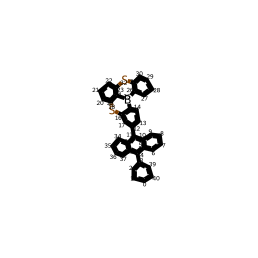 c1ccc(-c2c3ccccc3c(-c3ccc4c(c3)Sc3cccc5c3B4c3ccccc3S5)c3ccccc23)cc1